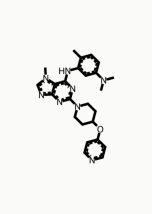 Cc1ccc(N(C)C)cc1Nc1nc(N2CCC(Oc3ccncc3)CC2)nc2ncn(C)c12